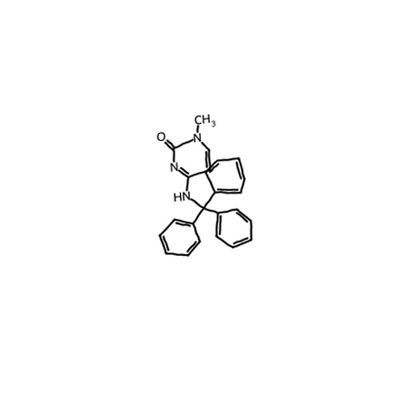 Cn1ccc(NC(c2ccccc2)(c2ccccc2)c2ccccc2)nc1=O